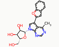 Cc1ncnc2c1c(-c1cc3ccccc3o1)cn2[C@@H]1O[C@H](CO)[C@@H](O)[C@H]1O